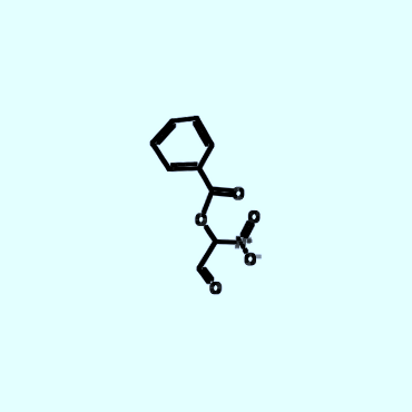 O=CC(OC(=O)c1ccccc1)[N+](=O)[O-]